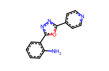 Nc1ccccc1-c1nnc(-c2ccncc2)o1